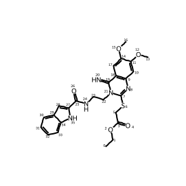 CCOC(=O)CSc1nc2cc(OC)c(OC)cc2c(=N)n1CCNC(=O)c1cc2ccccc2[nH]1